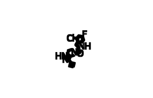 O=C(c1cc2c(Cl)cc(F)cc2[nH]1)N1CCc2[nH]nc(C34CC(C3)C4)c2C1